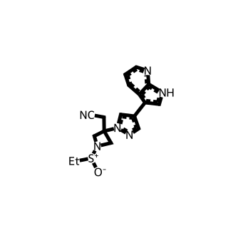 CC[S+]([O-])N1CC(CC#N)(n2cc(-c3c[nH]c4ncccc34)cn2)C1